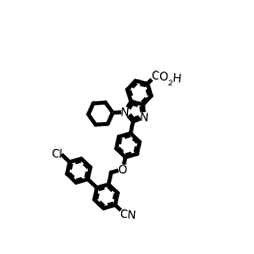 N#Cc1ccc(-c2ccc(Cl)cc2)c(COc2ccc(-c3nc4cc(C(=O)O)ccc4n3C3CCCCC3)cc2)c1